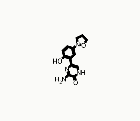 Nc1nc(-c2cc(N3CCCO3)ccc2O)c[nH]c1=O